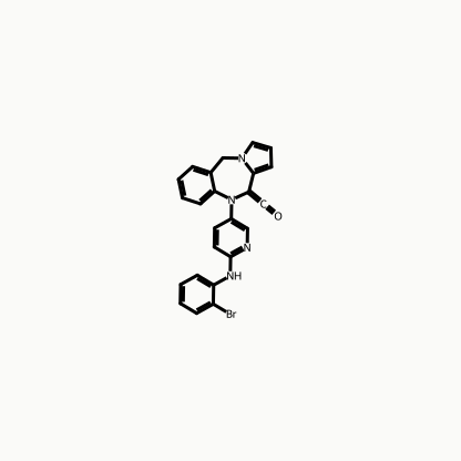 O=C=C1c2cccn2Cc2ccccc2N1c1ccc(Nc2ccccc2Br)nc1